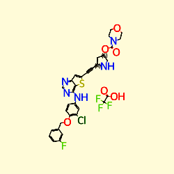 O=C(O)C(F)(F)F.O=C(O[C@@H]1CN[C@@H](C#Cc2cc3ncnc(Nc4ccc(OCc5cccc(F)c5)c(Cl)c4)c3s2)C1)N1CCOCC1